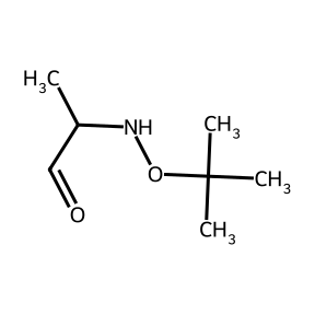 CC(C=O)NOC(C)(C)C